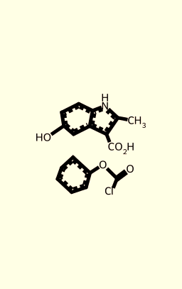 Cc1[nH]c2ccc(O)cc2c1C(=O)O.O=C(Cl)Oc1ccccc1